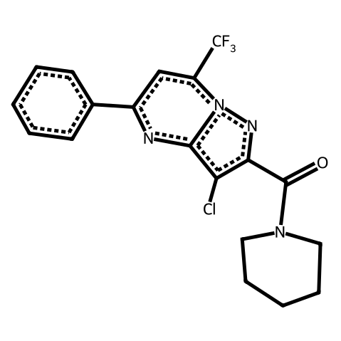 O=C(c1nn2c(C(F)(F)F)cc(-c3ccccc3)nc2c1Cl)N1CCCCC1